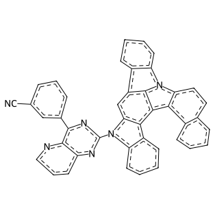 N#Cc1cccc(-c2nc(-n3c4ccccc4c4c5c6c7ccccc7ccc6n6c7ccccc7c(cc43)c56)nc3cccnc23)c1